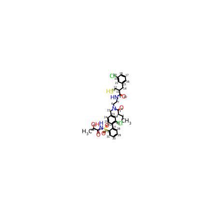 CCCC(=O)N(CCNC(=O)C(CS)Cc1cccc(Cl)c1)Cc1ccc(-c2ccccc2S(=O)(=O)NC(=O)C(C)O)c(Cl)c1